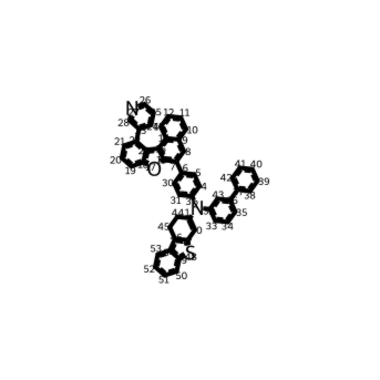 C1=C(N(c2ccc(-c3cc4ccccc4c4c3oc3cccc(-c5cccnc5)c34)cc2)c2cccc(-c3ccccc3)c2)CCc2c1sc1ccccc21